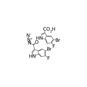 O=C(O)c1c[nH]c2cc(F)c(Br)cc12.[N-]=[N+]=NC(=O)c1c[nH]c2cc(F)c(Br)cc12